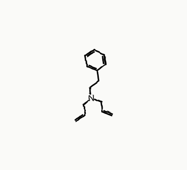 C=CCN(CC=C)CCc1ccccc1